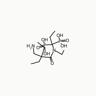 CCN(C(=O)C(CC)(CC)CN)C(CC)(P(=O)(O)O)P(=O)(O)O